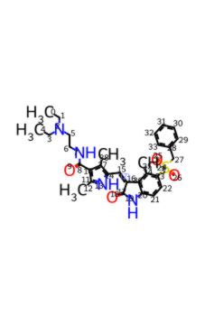 CCN(CC)CCNC(=O)c1c(C)[nH]c(/C=C2\C(=O)Nc3ccc(S(=O)(=O)Cc4ccccc4)c(C)c32)c1C